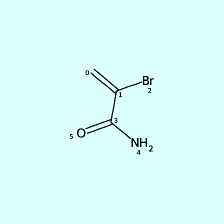 C=C(Br)C(N)=O